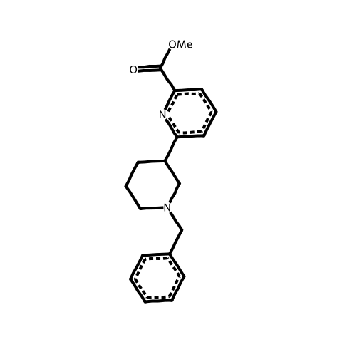 COC(=O)c1cccc(C2CCCN(Cc3ccccc3)C2)n1